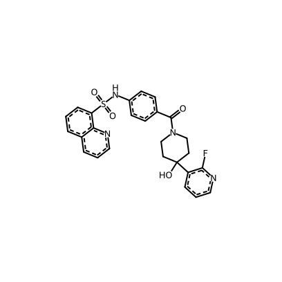 O=C(c1ccc(NS(=O)(=O)c2cccc3cccnc23)cc1)N1CCC(O)(c2cccnc2F)CC1